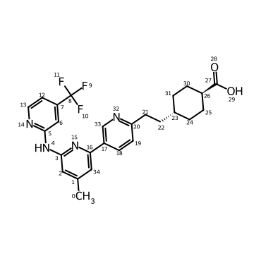 Cc1cc(Nc2cc(C(F)(F)F)ccn2)nc(-c2ccc(CC[C@H]3CC[C@H](C(=O)O)CC3)nc2)c1